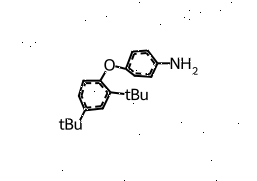 CC(C)(C)c1ccc(Oc2ccc(N)cc2)c(C(C)(C)C)c1